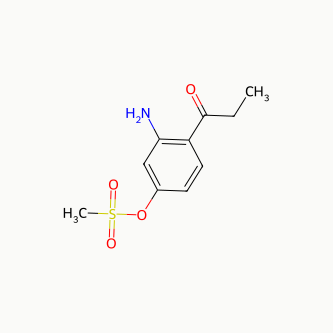 CCC(=O)c1ccc(OS(C)(=O)=O)cc1N